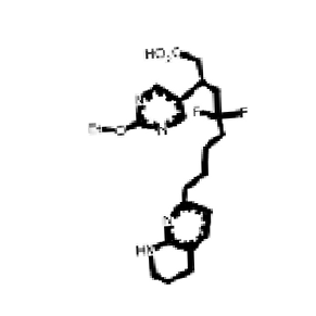 CCOc1ncc([C@@H](CC(=O)O)CC(F)(F)CCCCc2ccc3c(n2)NCCC3)cn1